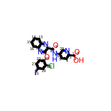 O=C(O)c1ccc(NC(=O)c2nc3ccccc3nc2Oc2ccc(I)cc2Cl)cn1